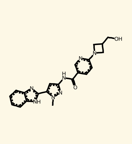 Cn1nc(NC(=O)c2ccc(N3CC(CO)C3)nc2)cc1-c1nc2ccccc2[nH]1